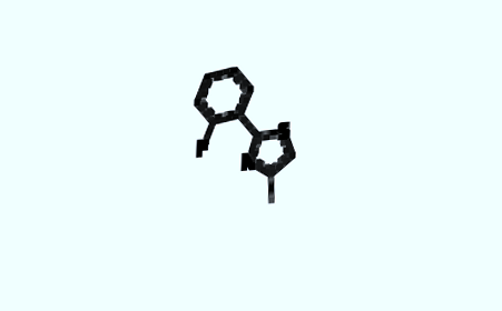 Cc1csc(-c2ccccc2F)n1